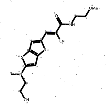 COCCNC(=O)/C(C#N)=C/c1cc2sc(N(C)CCC#N)cc2s1